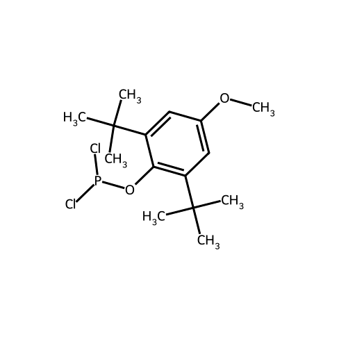 COc1cc(C(C)(C)C)c(OP(Cl)Cl)c(C(C)(C)C)c1